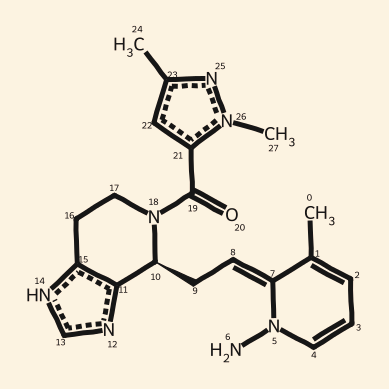 CC1=CC=CN(N)/C1=C\C[C@H]1c2nc[nH]c2CCN1C(=O)c1cc(C)nn1C